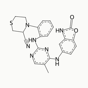 Cc1cnc(Nc2ccccc2N2CCSCC2C#N)nc1Nc1ccc2oc(=O)[nH]c2c1